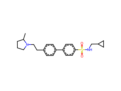 CC1CCCN1CCc1ccc(-c2ccc(S(=O)(=O)NCC3CC3)cc2)cc1